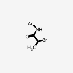 CC(=O)NC(=O)C(C)Br